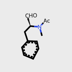 CC(=O)N(C)[C@H](C=O)Cc1ccccc1